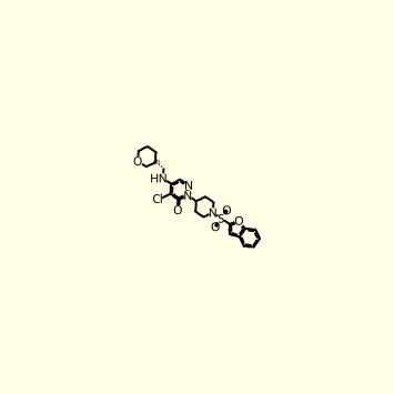 O=c1c(Cl)c(NC[C@H]2CCCOC2)cnn1C1CCN(S(=O)(=O)c2cc3ccccc3o2)CC1